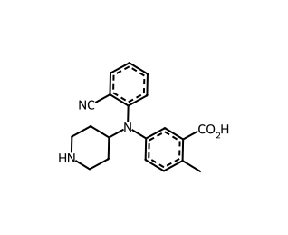 Cc1ccc(N(c2ccccc2C#N)C2CCNCC2)cc1C(=O)O